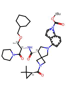 C[C@H](OCC1CCCCC1)[C@H](NC(=O)[C@@H]1CN(c2cccc3c2ccn3C(=O)OC(C)(C)C)CC12CN(C(=O)[C@H]1CC1(C)C)C2)C(=O)N1CCCCC1